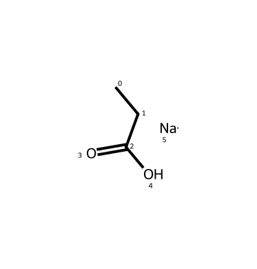 CCC(=O)O.[Na]